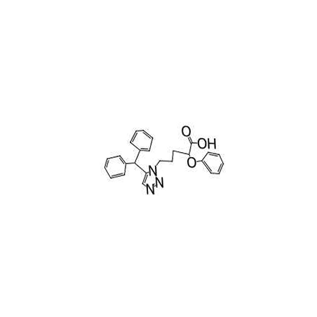 O=C(O)C(CCCn1nncc1C(c1ccccc1)c1ccccc1)Oc1ccccc1